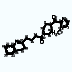 Cn1ccnc1C(=O)C1CCN(C(=O)CCCC2=Nc3ccccc3CC2)CC1